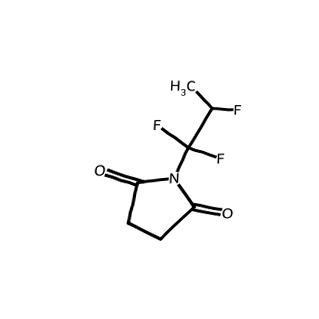 CC(F)C(F)(F)N1C(=O)CCC1=O